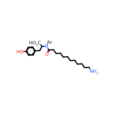 CC(=O)N(C(=O)CCCCCCCCCCCN)C(Cc1ccc(O)cc1)C(=O)O